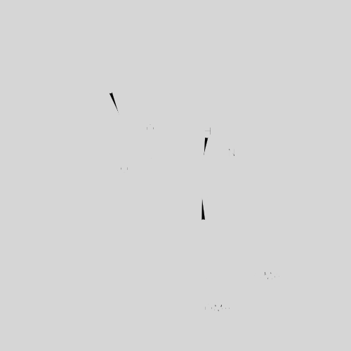 COc1ccc([C@]23CCN(C)[C@H]2CC2(CC3)OC[C@@H](c3ccccc3)O2)cc1OC